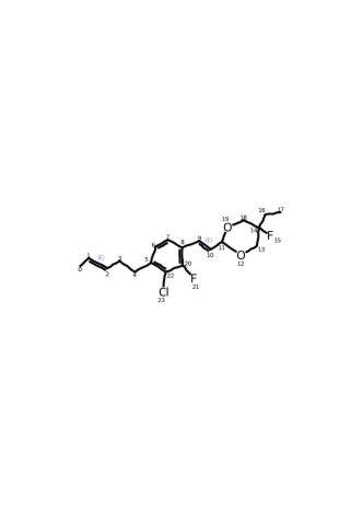 C/C=C/CCc1ccc(/C=C/C2OCC(F)(CC)CO2)c(F)c1Cl